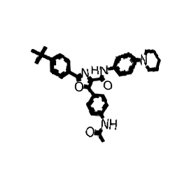 CC(=O)Nc1ccc(-c2oc(-c3ccc(C(C)(C)C)cc3)nc2C(=O)Nc2ccc(N3CCCCC3)cc2)cc1